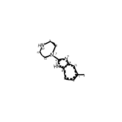 Cc1ccc2[nH]c(N3CCNCC3)nc2c1